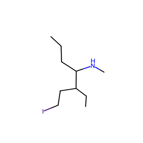 CCCC(NC)C(CC)CCI